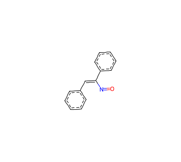 O=NC(=Cc1ccccc1)c1ccccc1